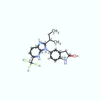 CCC(C)c1nc2ccc(C(F)(F)F)nc2n1-c1ccc2c(c1)CC(=O)N2